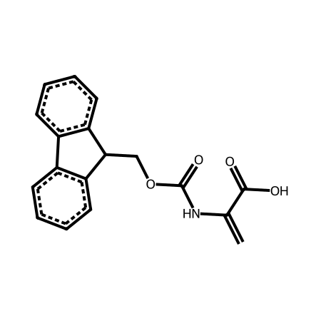 C=C(NC(=O)OCC1c2ccccc2-c2ccccc21)C(=O)O